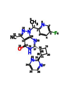 CC(c1ccc(F)cn1)n1nc(C#N)c2c(=O)[nH]c([C@@H]3CC[C@H]3c3ncccn3)nc21